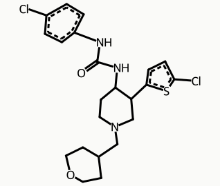 O=C(Nc1ccc(Cl)cc1)NC1CCN(CC2CCOCC2)CC1c1ccc(Cl)s1